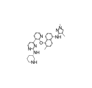 Cc1cn(C)nc1Nc1cccc2c(Oc3ncccc3-c3ccnc(N[C@H]4CCCNC4)n3)c(C)ccc12